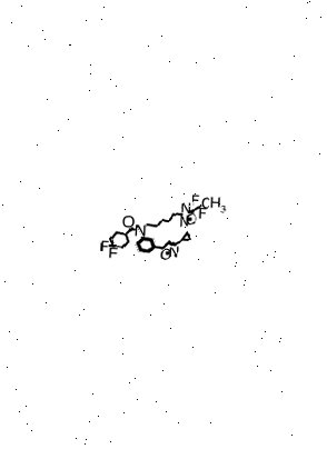 CC(F)(F)c1nc(CCCCCN(C(=O)C2CCC(F)(F)CC2)c2cccc(-c3cc(C4CC4)no3)c2)no1